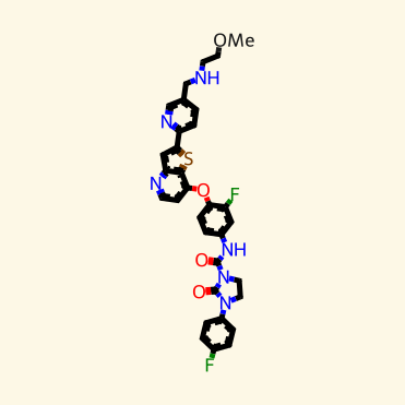 COCCNCc1ccc(-c2cc3nccc(Oc4ccc(NC(=O)N5CCN(c6ccc(F)cc6)C5=O)cc4F)c3s2)nc1